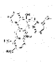 COc1ccc(C(=O)O)c(C)c1CN1C(=O)N(c2cccc(SC)c2)S(O)(O)c2ccccc21